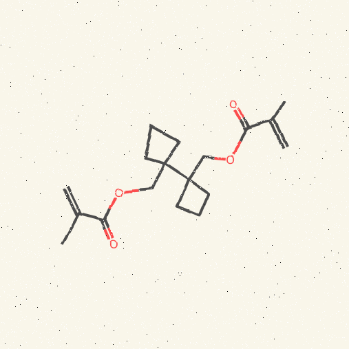 C=C(C)C(=O)OCC1(C2(COC(=O)C(=C)C)CCC2)CCC1